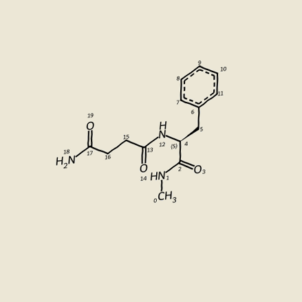 CNC(=O)[C@H](Cc1ccccc1)NC(=O)CCC(N)=O